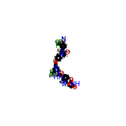 Cn1nc(C2CCC(=O)NC2=O)c2cccc(NC(=O)CN3CCN(CCO[C@H]4CC[C@H](N5C(=S)N(c6ccc(C#N)c(C(F)(F)F)c6)C(=O)C5(C)C)CC4)C[C@@H]3C(F)(F)F)c21